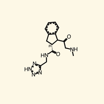 CNCC(=O)C1c2ccccc2C[C@H]1C(=O)NCc1nn[nH]n1